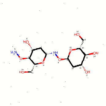 NO[C@H]1[C@H](O)C[C@H](NO[C@@H]2C[C@@H](O)[C@H](O)[C@@H](CO)O2)O[C@@H]1CO